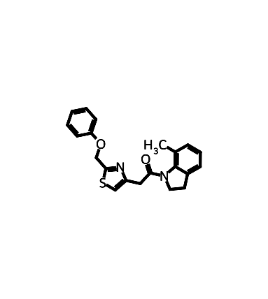 Cc1cccc2c1N(C(=O)Cc1csc(COc3ccccc3)n1)CC2